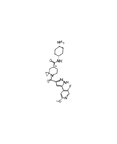 COc1cc(-c2cc(C(=O)N3CC[C@H](C(=O)N[C@H]4CC[C@@H](N)CC4)CC34CC4)n[nH]2)c(F)cn1